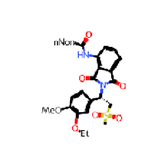 CCCCCCCCCC(=O)Nc1cccc2c1C(=O)N([C@H](CS(C)(=O)=O)c1ccc(OC)c(OCC)c1)C2=O